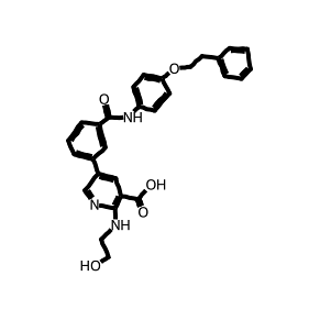 O=C(Nc1ccc(OCCc2ccccc2)cc1)c1cccc(-c2cnc(NCCO)c(C(=O)O)c2)c1